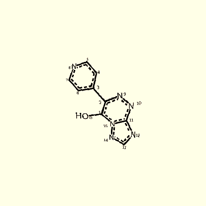 Oc1c(-c2ccncc2)nnc2ncnn12